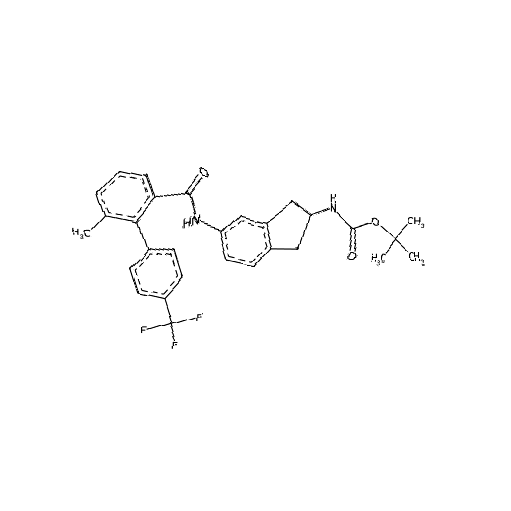 Cc1cccc(C(=O)Nc2ccc3c(c2)CC(NC(=O)OC(C)(C)C)C3)c1-c1ccc(C(F)(F)F)cc1